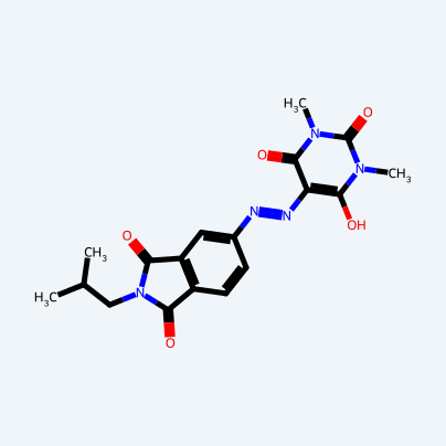 CC(C)CN1C(=O)c2ccc(N=Nc3c(O)n(C)c(=O)n(C)c3=O)cc2C1=O